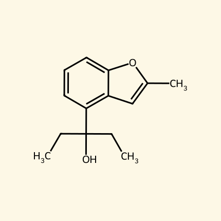 CCC(O)(CC)c1cccc2oc(C)cc12